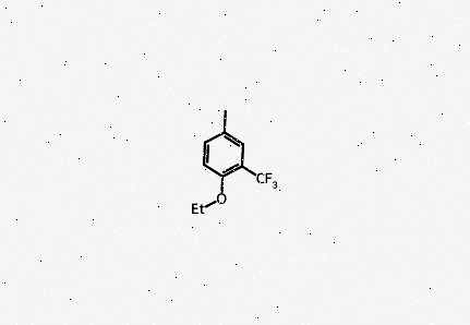 CCOc1ccc(C)cc1C(F)(F)F